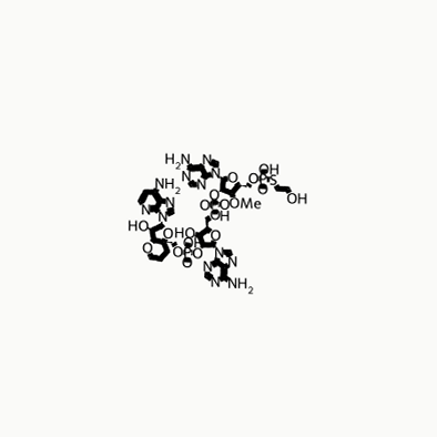 COC1[C@@H](COP(=O)(O)SCCO)O[C@@H](n2cnc3c(N)ncnc32)[C@H]1OP(=O)(O)OC[C@H]1O[C@@H](n2cnc3c(N)ncnc32)[C@@H](OP(=O)(O)OC[C@]23CCCOC2[C@H](O)[C@H](n2cnc4c(N)ccnc42)O3)C1O